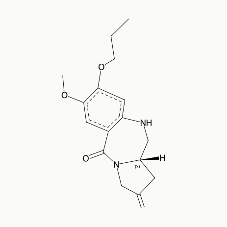 C=C1C[C@H]2CNc3cc(OCCC)c(OC)cc3C(=O)N2C1